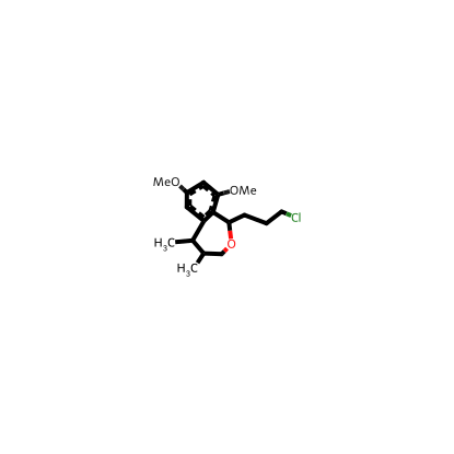 COc1cc(OC)c2c(c1)C(C)C(C)COC2CCCCl